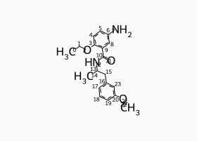 CCOc1ccc(N)cc1C(=O)NC(C)Cc1cccc(OC)c1